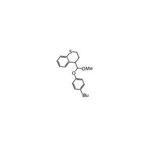 CCC(C)c1ccc(OC(OC)C2CCSc3ccccc32)cc1